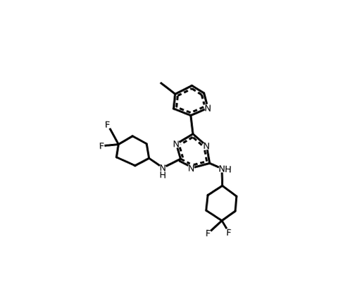 Cc1ccnc(-c2nc(NC3CCC(F)(F)CC3)nc(NC3CCC(F)(F)CC3)n2)c1